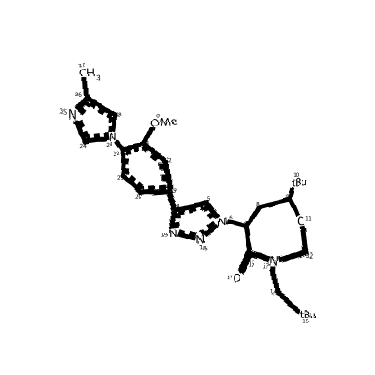 COc1cc(-c2cn(C3CC(C(C)(C)C)CCN(CC(C)(C)C)C3=O)nn2)ccc1-n1cnc(C)c1